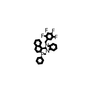 CP(c1ccccc1)c1ccc2ccccc2c1-c1nc2ccccc2n1Cc1cc(F)c(F)c(F)c1F